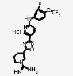 Cl.N=C(N)N1CCCC(c2nc(-c3ccc(Nc4ccc(OC(F)(F)F)c(F)c4)nc3)no2)C1